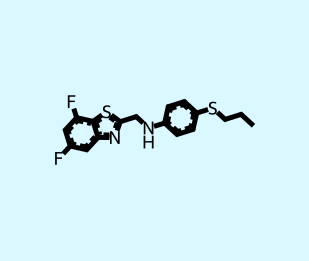 CCCSc1ccc(NCc2nc3cc(F)cc(F)c3s2)cc1